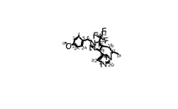 COc1ccc(Cn2nc3c(c2C(F)(F)F)CC(C)n2cncc2-3)cc1